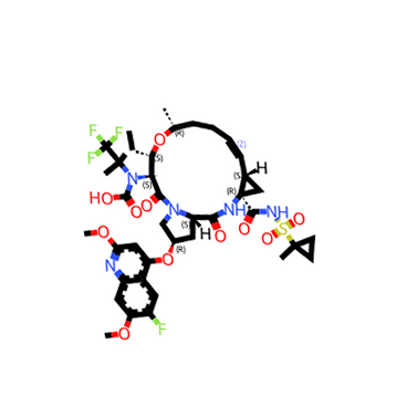 CC[C@@H]1O[C@H](C)CC/C=C\[C@@H]2C[C@@]2(C(=O)NS(=O)(=O)C2(C)CC2)NC(=O)[C@@H]2C[C@@H](Oc3cc(OC)nc4cc(OC)c(F)cc34)CN2C(=O)[C@H]1N(C(=O)O)C(C)(C)C(F)(F)F